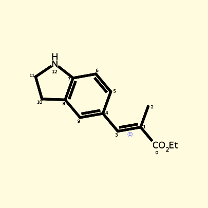 CCOC(=O)/C(C)=C/c1ccc2c(c1)CCN2